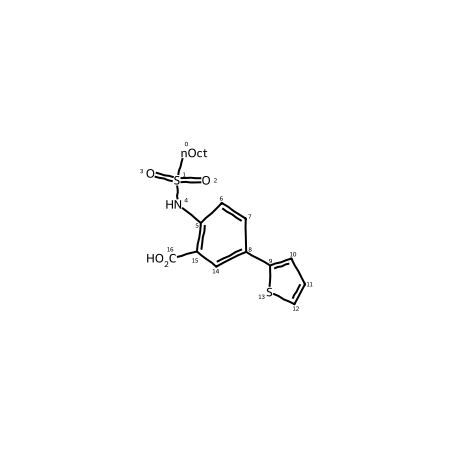 CCCCCCCCS(=O)(=O)Nc1ccc(-c2cccs2)cc1C(=O)O